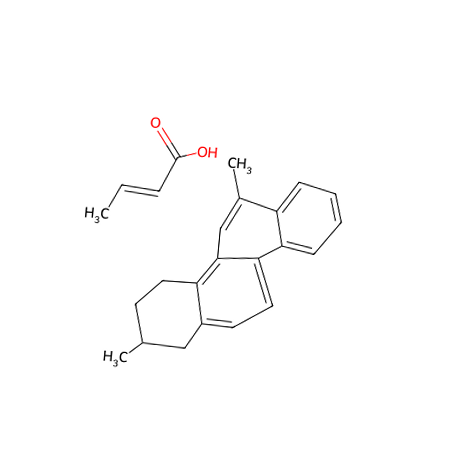 CC=CC(=O)O.Cc1cc2c3c(ccc2c2ccccc12)CC(C)CC3